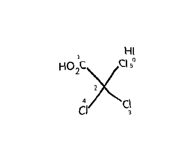 I.O=C(O)C(Cl)(Cl)Cl